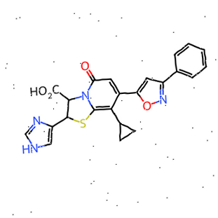 O=C(O)C1C(c2c[nH]cn2)Sc2c(C3CC3)c(-c3cc(-c4ccccc4)no3)cc(=O)n21